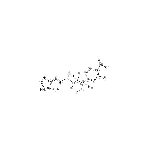 O=C(c1ccc2[nH]cnc2c1)N1CCC[C@@H]2c3cc(O)c([N+](=O)[O-])cc3C[C@@H]21